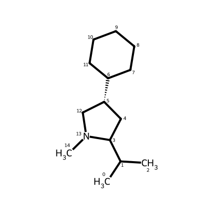 CC(C)C1C[C@@H](C2CCCCC2)CN1C